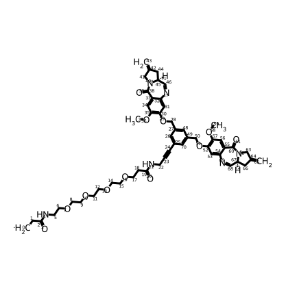 [CH2]CC(=O)NCCOCCOCCOCCOCCC(=O)NCC#Cc1cc(COc2cc3c(cc2OC)C(=O)N2CC(=C)C[C@H]2C=N3)cc(COc2cc3c(cc2OC)C(=O)N2CC(=C)C[C@H]2C=N3)c1